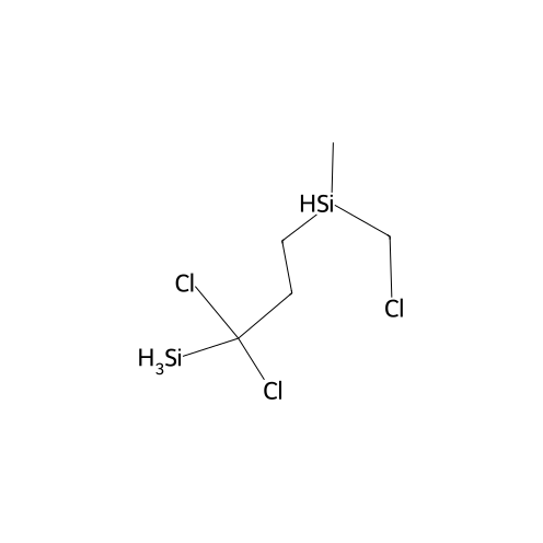 C[SiH](CCl)CCC([SiH3])(Cl)Cl